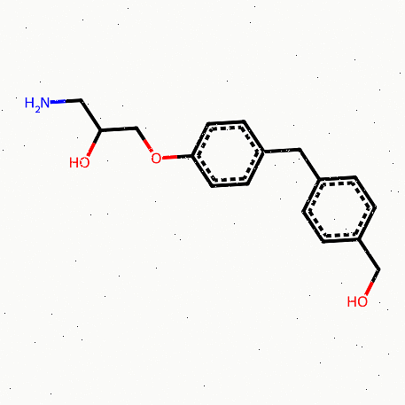 NCC(O)COc1ccc(Cc2ccc(CO)cc2)cc1